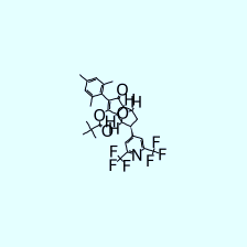 Cc1cc(C)c(C2=C(OC(=O)C(C)(C)C)[C@@H]3[C@@H]4O[C@@H](C[C@H]4c4cc(C(F)(F)F)nc(C(F)(F)F)c4)[C@@H]3C2=O)c(C)c1